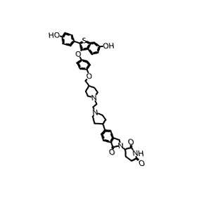 O=C1CCC(N2Cc3cc(C4CCN(CCN5CCC(COc6ccc(Oc7c(-c8ccc(O)cc8)sc8cc(O)ccc78)cc6)CC5)CC4)ccc3C2=O)C(=O)N1